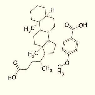 COc1ccc(C(=O)O)cc1.C[C@H](CCC(=O)O)[C@H]1CCC2C3CC[C@@H]4CCCC[C@]4(C)C3CC[C@@]21C